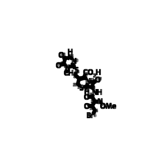 CON=C(C(=O)CBr)C(=O)N[C@@H]1C(=O)N2C(C(=O)O)=C(CSc3n[nH]c(=O)c(=O)n3C)CS[C@H]12